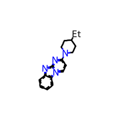 [CH2]CC1CCN(c2ccn3c(n2)nc2ccccc23)CC1